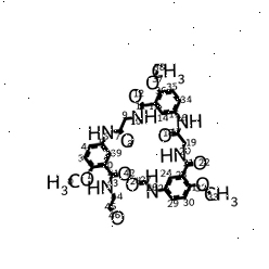 COc1ccc(NC(=O)CNC(=O)c2cc(NC(=O)CNC(=O)c3cc(NC=O)ccc3OC)ccc2OC)cc1C(=O)NCC=O